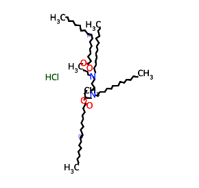 CCCCCCCC/C=C/CCCCCCCC(=O)OC(CC)CN(CCCCCCCCCCCCCC)CCCCN(CCCCCCCCCCCCCC)CC(CC)OC(=O)CCCCCCC/C=C/CCCCCCCC.Cl